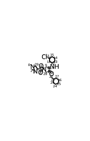 Cn1cnc(S(=O)(=O)N2C[C@@H](Nc3cccc(Cl)c3)[C@H](OCc3ccccc3)C2)c1